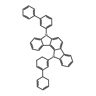 C1=CCC(C2=CCCC(n3c4ccccc4c4ccc5c(c6ccccc6n5-c5cccc(-c6ccccc6)c5)c43)=C2)C=C1